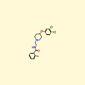 Cc1ccccc1C(=O)NCCN1CCC(Oc2ccc(Cl)c(Cl)c2)CC1